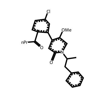 CCCC(=O)c1ccc(Cl)cc1-c1cc(=O)n(C(C)Cc2ccccc2)cc1OC